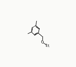 CCOCc1cc(C)cc(C)c1